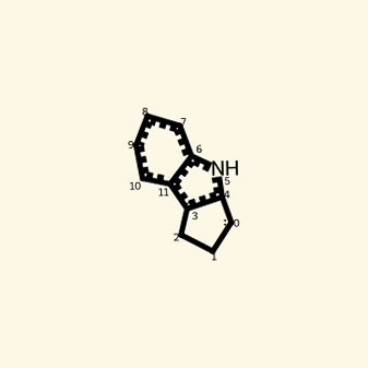 [C]1CCc2c1[nH]c1ccccc21